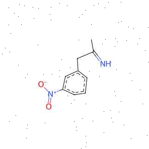 CC(=N)Cc1cccc([N+](=O)[O-])c1